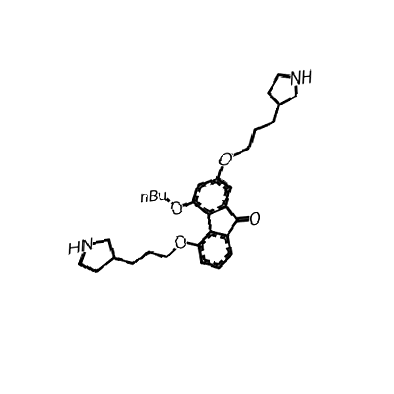 CCCCOc1cc(OCCCC2CCNC2)cc2c1-c1c(OCCCC3CCNC3)cccc1C2=O